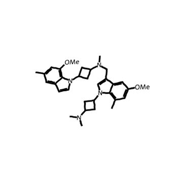 COc1cc(C)c2c(c1)c(CN(C)C1CC(n3ccc4cc(C)cc(OC)c43)C1)cn2C1CC(N(C)C)C1